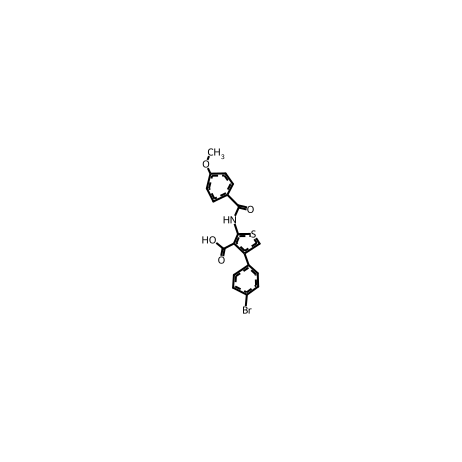 COc1ccc(C(=O)Nc2scc(-c3ccc(Br)cc3)c2C(=O)O)cc1